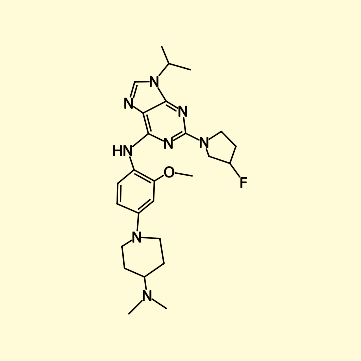 COc1cc(N2CCC(N(C)C)CC2)ccc1Nc1nc(N2CCC(F)C2)nc2c1ncn2C(C)C